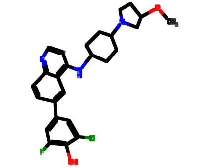 COC1CCN(C2CCC(Nc3[c]cnc4ccc(-c5cc(F)c(O)c(Cl)c5)cc34)CC2)C1